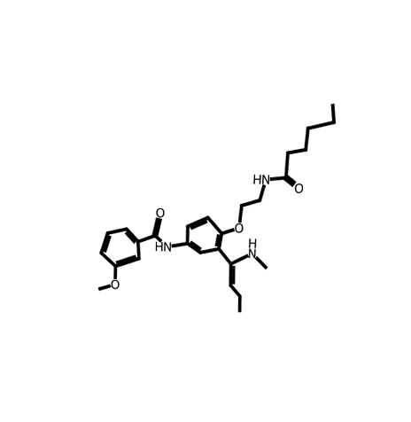 CC/C=C(\NC)c1cc(NC(=O)c2cccc(OC)c2)ccc1OCCNC(=O)CCCCC